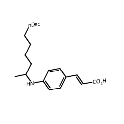 CCCCCCCCCCCCCCC(C)Nc1ccc(C=CC(=O)O)cc1